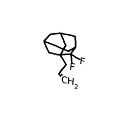 C=CCC12CC3CC(CC(C3)C1(F)F)C2